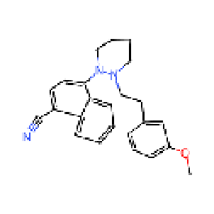 COc1cccc(CCN2CCCCN2c2ccc(C#N)c3ccccc23)c1